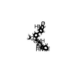 CC(C)Oc1ccc(-c2ccc3c(c2)NC(=O)C3)cc1C(=O)N[C@@H](CO)Cc1c[nH]c2ccccc12